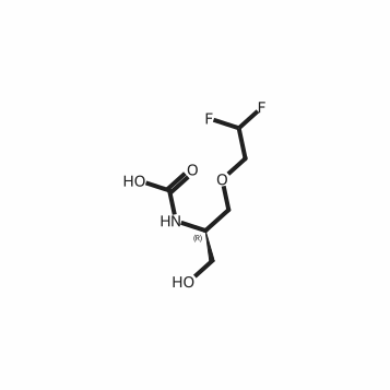 O=C(O)N[C@H](CO)COCC(F)F